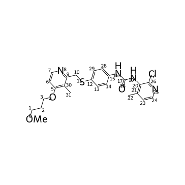 COCCCOc1ccnc(CSc2ccc(NC(=O)Nc3c(C)ccnc3Cl)cc2)c1C